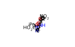 CC(C)C[C@H](NC(=O)[C@H](Cc1ccccc1)NC(=O)CC1COc2c1cccc2[N+](=O)[O-])C(=O)O